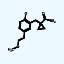 COCCc1ccc(Cl)c(CC2(C(N)=O)CC2)c1